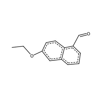 CCOc1ccc2c(C=O)cccc2c1